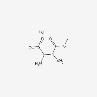 COC(=O)C(N)C(N)[SH](=O)=O.Cl